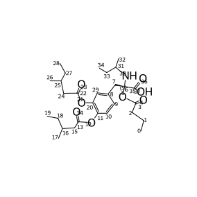 CCCC(=O)O[C@](Cc1ccc(OC(=O)CC(C)CC)c(OC(=O)CC(C)CC)c1)(NC(C)CC)C(=O)O